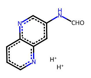 O=CNc1cnc2cccnc2c1.[H+].[H+]